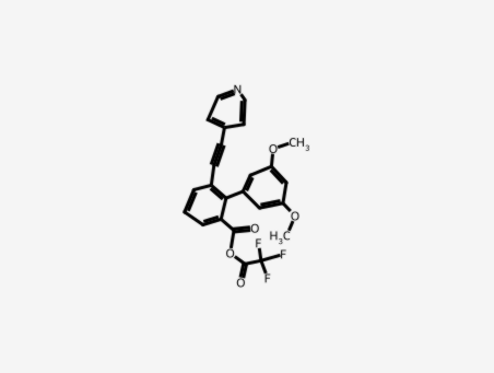 COc1cc(OC)cc(-c2c(C#Cc3ccncc3)cccc2C(=O)OC(=O)C(F)(F)F)c1